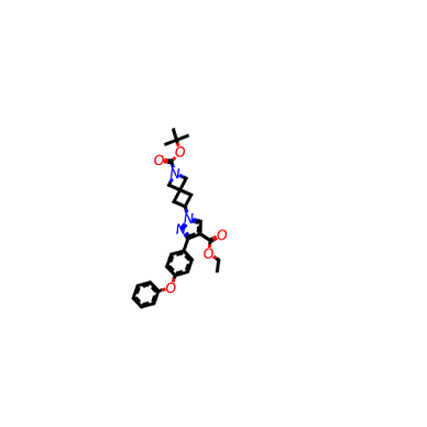 CCOC(=O)c1cn(C2CC3(C2)CN(C(=O)OC(C)(C)C)C3)nc1-c1ccc(Oc2ccccc2)cc1